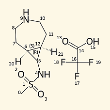 CS(=O)(=O)NC1[C@H]2CCNCC[C@@H]12.O=C(O)C(F)(F)F